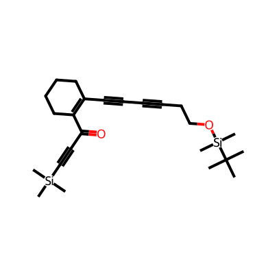 CC(C)(C)[Si](C)(C)OCCC#CC#CC1=C(C(=O)C#C[Si](C)(C)C)CCCC1